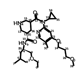 CCOC[C@@H](CC(C)C)NC(=O)[C@@H]1CNCC(C(=O)N(c2cc(OCCCOC)c(C)cn2)C2CC2)C1